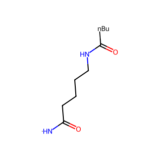 CCCCC(=O)NCCCCC([NH])=O